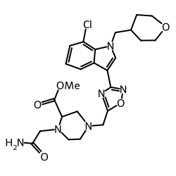 COC(=O)C1CN(Cc2nc(-c3cn(CC4CCOCC4)c4c(Cl)cccc34)no2)CCN1CC(N)=O